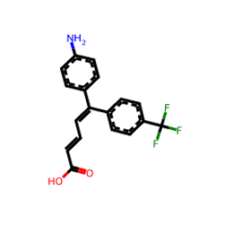 Nc1ccc(C(=CC=CC(=O)O)c2ccc(C(F)(F)F)cc2)cc1